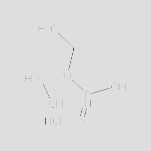 CC.CCO[PH](=O)O.Cl